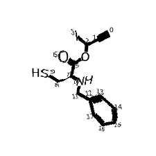 C#CC(I)OC(=O)[C@H](CS)NCc1ccccc1